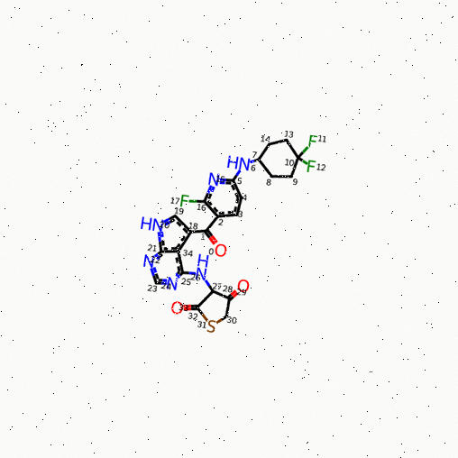 O=C(c1ccc(NC2CCC(F)(F)CC2)nc1F)c1c[nH]c2ncnc(NC3C(=O)CSC3=O)c12